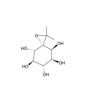 CC1(C)O[C@]12[C@@H](O)[C@H](O)[C@@H](O)[C@H](O)[C@@H]2O